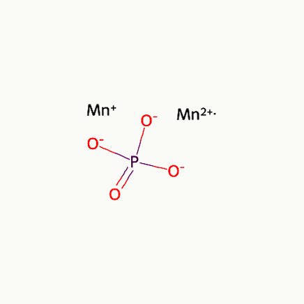 O=P([O-])([O-])[O-].[Mn+2].[Mn+]